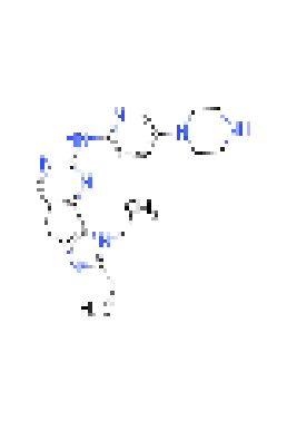 CCc1nc2c(n1CC)-c1nc(Nc3ccc(N4CCNCC4)cn3)ncc1C2